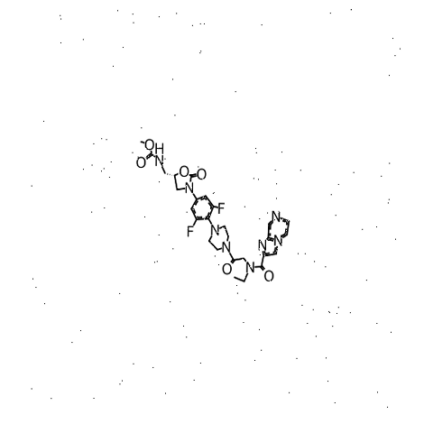 CCN(CC(=O)N1CCN(c2c(F)cc(N3C[C@H](CNC(=O)OC)OC3=O)cc2F)CC1)C(=O)c1cn2ccncc2n1